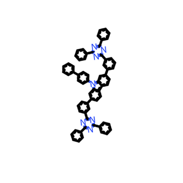 c1ccc(-c2ccc(-n3c4cc(-c5cccc(-c6nc(-c7ccccc7)nc(-c7ccccc7)n6)c5)ccc4c4ccc(-c5cccc(-c6nc(-c7ccccc7)nc(-c7ccccc7)n6)c5)cc43)cc2)cc1